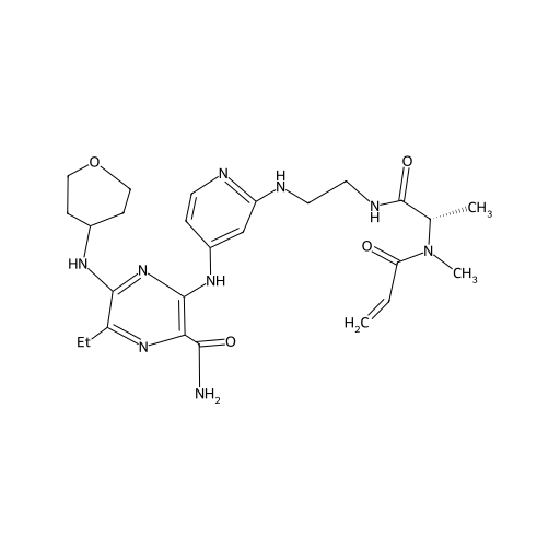 C=CC(=O)N(C)[C@@H](C)C(=O)NCCNc1cc(Nc2nc(NC3CCOCC3)c(CC)nc2C(N)=O)ccn1